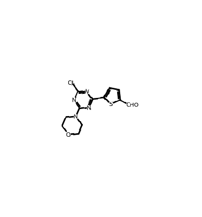 O=Cc1ccc(-c2nc(Cl)nc(N3CCOCC3)n2)s1